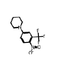 O=[N+]([O-])c1ccc(N2CCCCC2)cc1C(F)(F)F